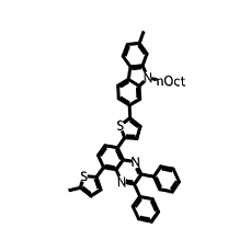 CCCCCCCCn1c2cc(C)ccc2c2ccc(-c3ccc(-c4ccc(-c5ccc(C)s5)c5nc(-c6ccccc6)c(-c6ccccc6)nc45)s3)cc21